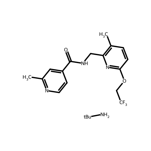 CC(C)(C)N.Cc1cc(C(=O)NCc2nc(OCC(F)(F)F)ccc2C)ccn1